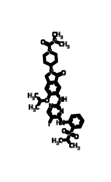 CC(C)Oc1cc2c(cc1Nc1ncc(I)c(Nc3ccccc3S(=O)(=O)C(C)C)n1)C(=O)N(C1CCN(C(=O)N(C)C)CC1)C2